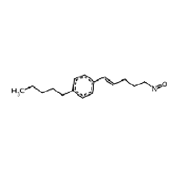 CCCCCc1ccc(/C=C/CCCN=O)cc1